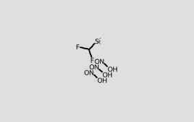 FC(F)[Si].O=NO.O=NO.O=NO